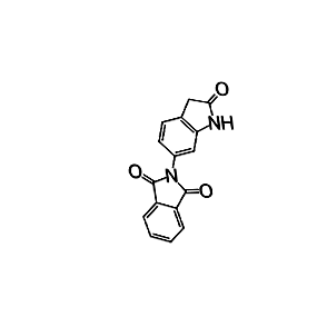 O=C1Cc2ccc(N3C(=O)c4ccccc4C3=O)cc2N1